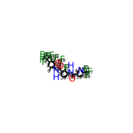 Cc1cc(C(F)(C(F)(F)F)C(F)(F)F)cc(OC(F)F)c1NC(=O)c1cccc(NC(=O)c2ccc(C(F)(F)F)nc2)c1F